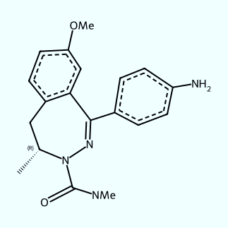 CNC(=O)N1N=C(c2ccc(N)cc2)c2cc(OC)ccc2C[C@H]1C